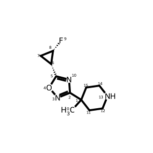 CC1(c2noc([C@@H]3C[C@@H]3F)n2)CCNCC1